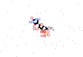 CCC(C)(C[C@H]1O[C@@H](c2c[nH]c(=O)[nH]c2=O)[C@H](O)[C@@H]1O)OP(=O)(O)O